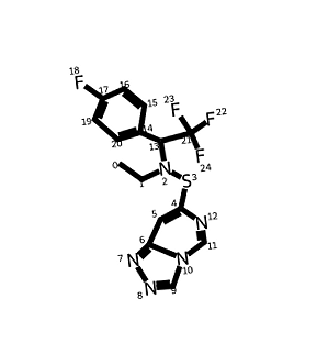 CCN(Sc1cc2nncn2cn1)C(c1ccc(F)cc1)C(F)(F)F